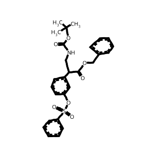 CC(C)(C)OC(=O)NCC(C(=O)OCc1ccccc1)c1cccc(OS(=O)(=O)c2ccccc2)c1